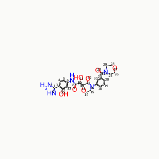 N=C(N)c1ccc(NC(=O)[C@H](O)[C@H]2OCCN(c3cccc(C(=O)N4CCOCC4)c3)C2=O)cc1O